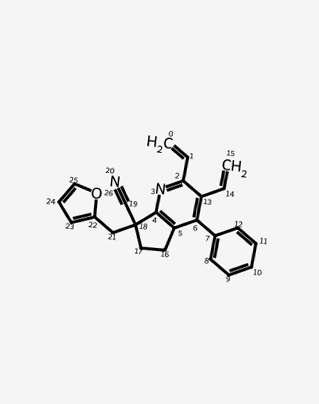 C=Cc1nc2c(c(-c3ccccc3)c1C=C)CCC2(C#N)Cc1ccco1